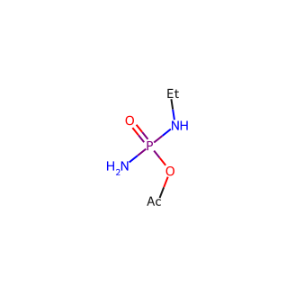 CCNP(N)(=O)OC(C)=O